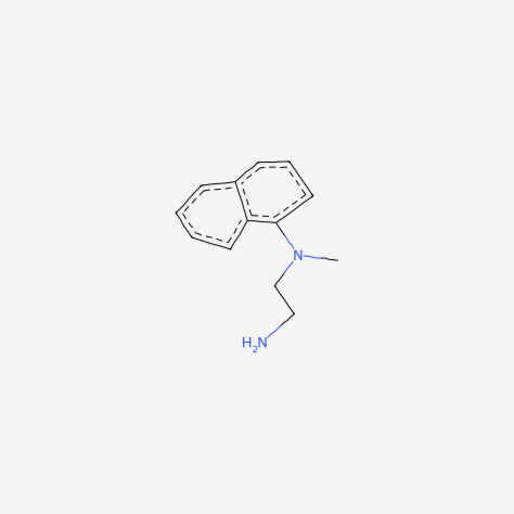 CN(CCN)c1cccc2ccccc12